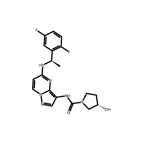 C[C@@H](Nc1ccn2ncc(NC(=O)N3CC[C@H](O)C3)c2n1)c1cc(F)ccc1F